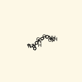 Cc1c(CN2CCCC2)c2ccccc2n1-c1ccc(C(=O)Nc2ccc(Oc3ccc(NC(=O)NC(C)C)cc3)cc2)cc1